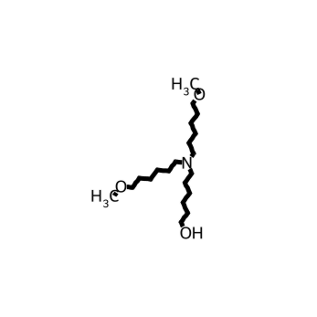 COCCCCCCN(CCCCCCO)CCCCCCOC